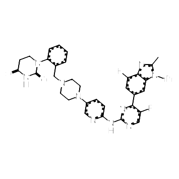 Cc1nc2c(F)cc(-c3nc(Nc4ccc(N5CCN(Cc6ccccc6N6CCC(=O)NC6=O)CC5)cn4)ncc3F)cc2n1C(C)C